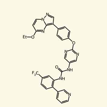 CCOc1ccn2ncc(-c3ccc(Oc4ncc(NC(=O)Nc5cc(C(F)(F)F)ccc5-c5cccnc5)cn4)cc3)c2n1